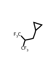 FC(F)(F)C(CC1CC1)C(F)(F)F